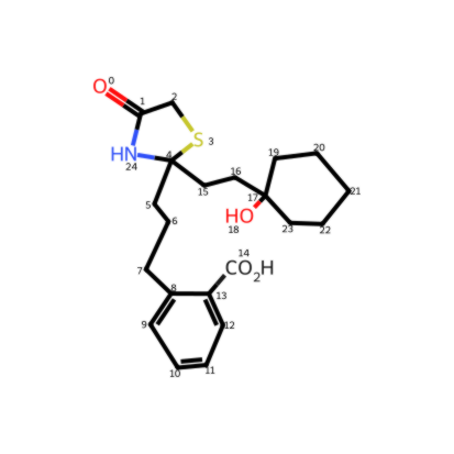 O=C1CSC(CCCc2ccccc2C(=O)O)(CCC2(O)CCCCC2)N1